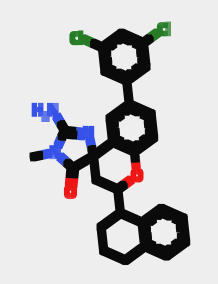 CN1C(=O)C2(CC(C3CCCc4ccccc43)Oc3ccc(-c4cc(Cl)cc(Cl)c4)cc32)N=C1N